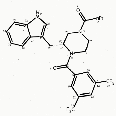 CCCC(=O)N1CCN(C(=O)c2cc(C(F)(F)F)cc(C(F)(F)F)c2)[C@H](Cc2c[nH]c3ccccc23)C1